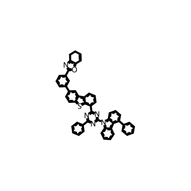 C1=Cc2oc(-c3cccc(-c4ccc5sc6c(-c7nc(-c8ccccc8)nc(-n8c9ccccc9c9c(-c%10ccccc%10)cccc98)n7)cccc6c5c4)c3)nc2CC1